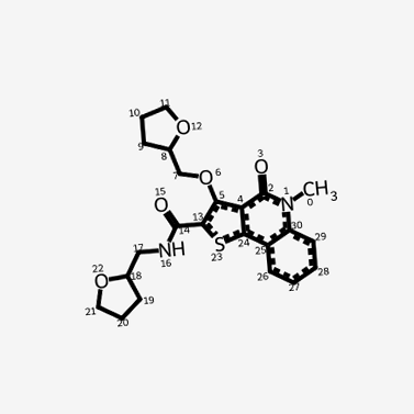 Cn1c(=O)c2c(OCC3CCCO3)c(C(=O)NCC3CCCO3)sc2c2ccccc21